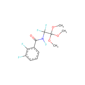 CO[Si](OC)(OC)C(F)(F)N(F)C(=O)c1cccc(F)c1F